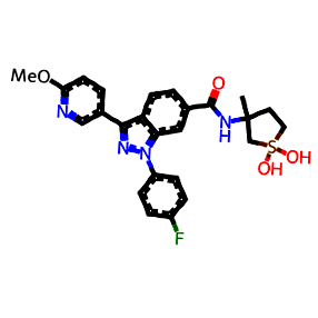 COc1ccc(-c2nn(-c3ccc(F)cc3)c3cc(C(=O)NC4(C)CCS(O)(O)C4)ccc23)cn1